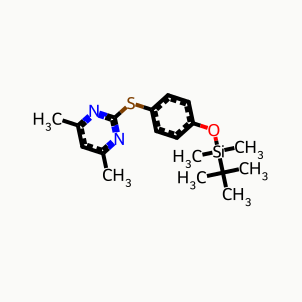 Cc1cc(C)nc(Sc2ccc(O[Si](C)(C)C(C)(C)C)cc2)n1